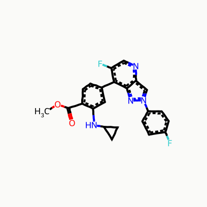 COC(=O)c1ccc(-c2c(F)cnc3cn(-c4ccc(F)cc4)nc23)cc1NC1CC1